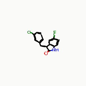 O=C1Nc2ccc(F)cc2/C1=C\c1cccc(Cl)c1